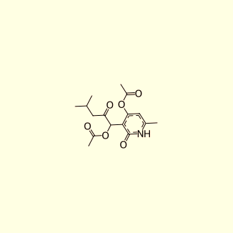 CC(=O)Oc1cc(C)[nH]c(=O)c1C(OC(C)=O)C(=O)CC(C)C